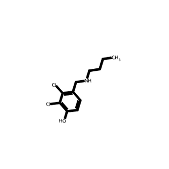 CCCCNCc1ccc(O)c(Cl)c1Cl